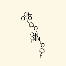 CCOC(Cc1ccc(OCCN(CCCCOc2ccc(F)cc2)C(=O)NC(C)C)cc1)C(=O)O